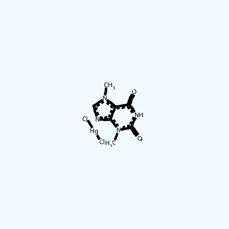 Cn1cnc2c1c(=O)[nH]c(=O)n2C.[Cl][Hg][Cl]